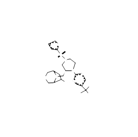 CC(O)(c1cnc(N2CCN(S(=O)(=O)c3cccs3)C[C@@H]2CN2C3COCC2C(O)C3)nc1)C(F)(F)F